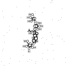 CC(C)=CCC[C@](C)(O[C@@H]1O[C@H](CO[C@@H]2O[C@@H](CO)[C@H](O)[C@H]2O)[C@@H](O)[C@H](O)[C@H]1O)[C@H]1CC[C@]2(C)[C@@H]1[C@H](O)C[C@@H]1[C@@]3(C)CC[C@H](O[C@@H]4O[C@H](CO)[C@@H](O)[C@H](O)[C@H]4O)C(C)(C)[C@@H]3CC[C@]12C